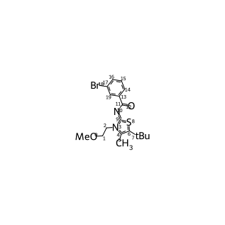 COCCn1c(C)c(C(C)(C)C)s/c1=N\C(=O)c1cccc(Br)c1